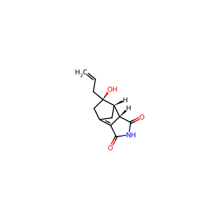 C=CC[C@@]1(O)CC2=C3C(=O)NC(=O)[C@H]3[C@@H]1C2